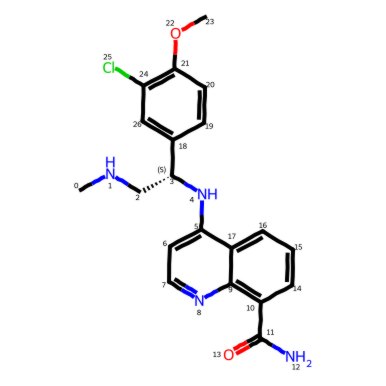 CNC[C@@H](Nc1ccnc2c(C(N)=O)cccc12)c1ccc(OC)c(Cl)c1